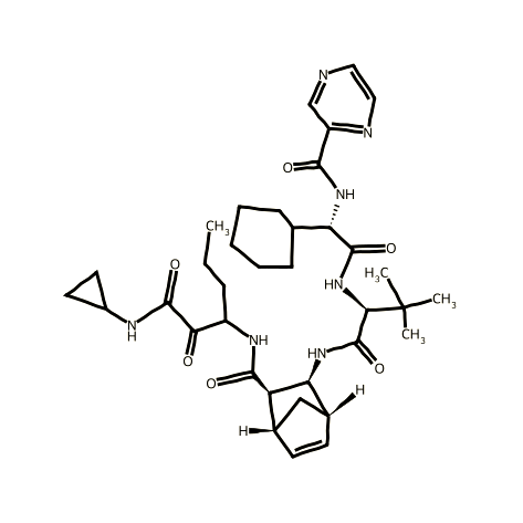 CCCC(NC(=O)[C@H]1[C@@H](NC(=O)[C@@H](NC(=O)[C@@H](NC(=O)c2cnccn2)C2CCCCC2)C(C)(C)C)[C@@H]2C=C[C@H]1C2)C(=O)C(=O)NC1CC1